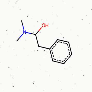 CN(C)C(O)Cc1ccccc1